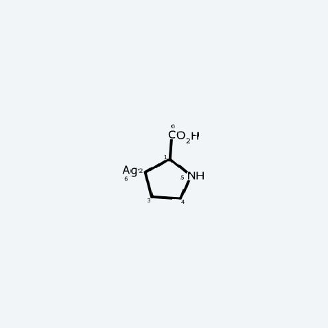 O=C(O)C1CCCN1.[Ag]